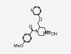 COc1ccc(C(=O)N2CCNCC2COc2cccnc2)cc1.Cl.Cl